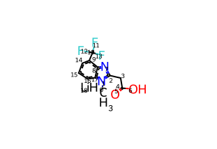 Cn1c(CC(=O)O)nc2c(C(F)(F)F)cccc21.[LiH]